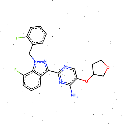 Nc1nc(-c2nn(Cc3ccccc3F)c3c(F)cccc23)ncc1OC1CCOC1